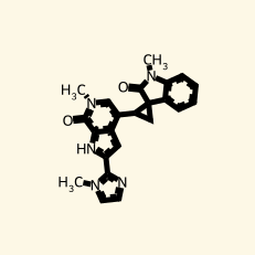 CN1C(=O)C2(CC2c2cn(C)c(=O)c3[nH]c(-c4nccn4C)cc23)c2ccccc21